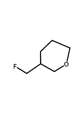 FCC1CCCOC1